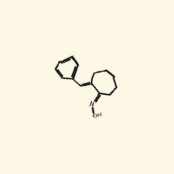 O/N=C1\CCCCC\C1=C/c1ccccc1